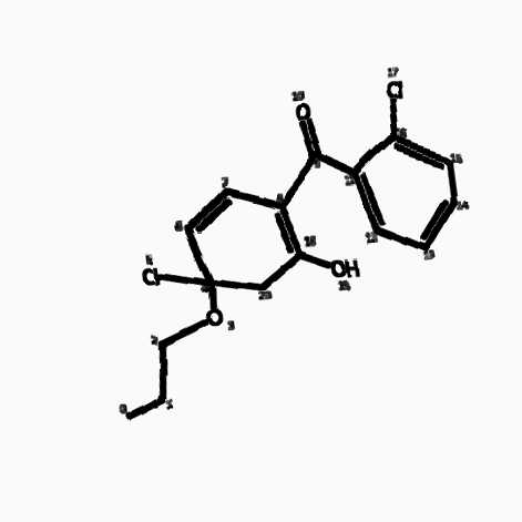 CCCOC1(Cl)C=CC(C(=O)c2ccccc2Cl)=C(O)C1